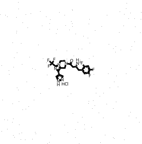 Cl.NC(CC(=O)N1CCn2c(C(F)(F)F)nc(-c3cn[nH]c3)c2C1)Cc1cc(F)c(F)cc1F